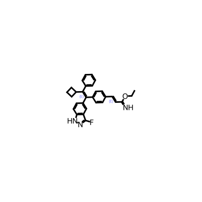 CCOC(=N)/C=C/c1ccc(/C(=C(\c2ccccc2)C2CCC2)c2ccc3[nH]nc(F)c3c2)cc1